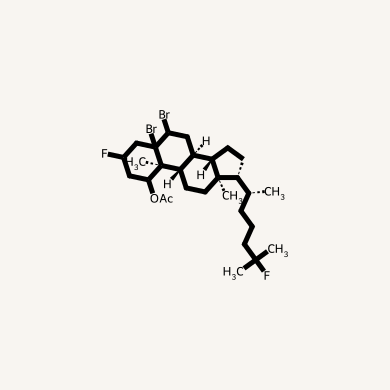 CC(=O)OC1CC(F)CC2(Br)C(Br)C[C@H]3[C@@H]4CC[C@H]([C@H](C)CCCC(C)(C)F)[C@@]4(C)CC[C@@H]3[C@@]12C